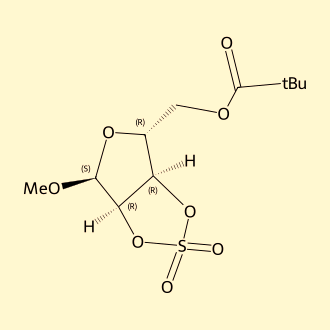 CO[C@H]1O[C@H](COC(=O)C(C)(C)C)[C@H]2OS(=O)(=O)O[C@@H]12